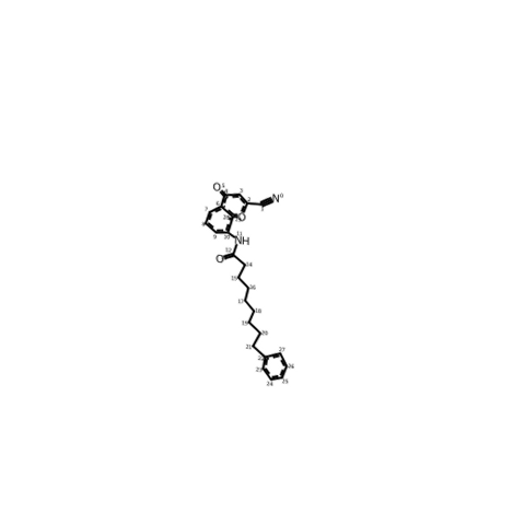 N#Cc1cc(=O)c2cccc(NC(=O)CCCCCCCCc3ccccc3)c2o1